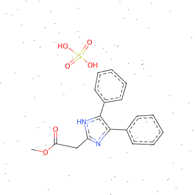 COC(=O)Cc1nc(-c2ccccc2)c(-c2ccccc2)[nH]1.O=S(=O)(O)O